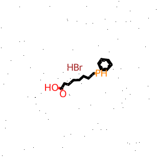 Br.O=C(O)CCCCCCCPc1ccccc1